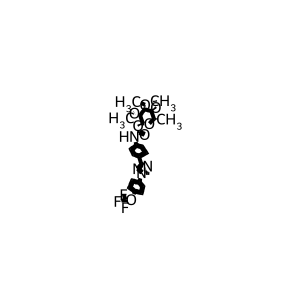 CO[C@@H]1[C@@H](OC)[C@H](C)O[C@@H](OC(=O)Nc2ccc(-c3ncn(-c4ccc(OC(F)(F)F)cc4)n3)cc2)[C@@H]1OC